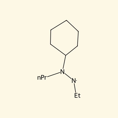 CCCN([N]CC)C1CCCCC1